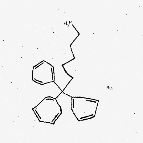 PCCCCCC(c1ccccc1)(c1ccccc1)c1ccccc1.[Ru]